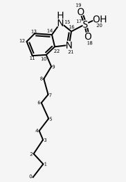 CCCCCCCCCCc1cccc2[nH]c(S(=O)(=O)O)nc12